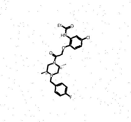 CCC(=O)Nc1cc(Cl)ccc1OCC(=O)N1C[C@H](C)N(Cc2ccc(F)cc2)C[C@H]1C